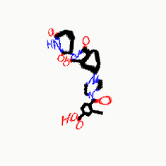 Cc1cc(C(=O)O)ccc1C(=O)N1CCN(c2ccc3c(c2)C(=O)N(C2CCC(=O)NC2O)C3=O)CC1